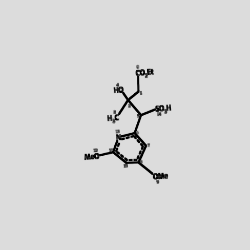 CCOC(=O)CC(C)(O)C(c1cc(OC)cc(OC)n1)S(=O)(=O)O